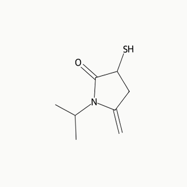 C=C1CC(S)C(=O)N1C(C)C